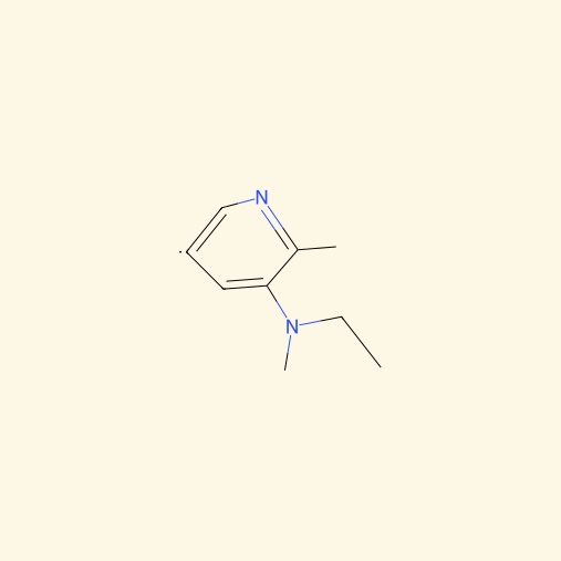 CCN(C)c1c[c]cnc1C